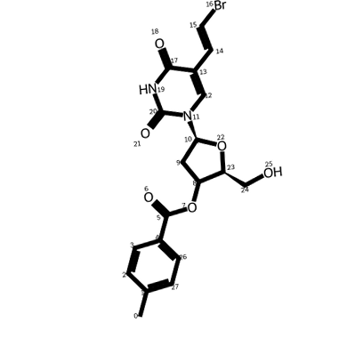 Cc1ccc(C(=O)OC2C[C@@H](n3cc(/C=C/Br)c(=O)[nH]c3=O)O[C@H]2CO)cc1